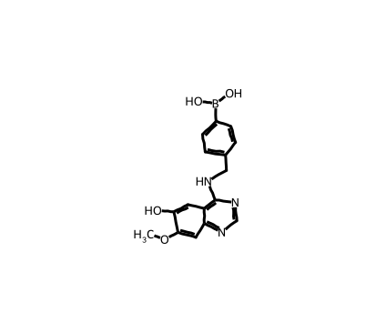 COc1cc2ncnc(NCc3ccc(B(O)O)cc3)c2cc1O